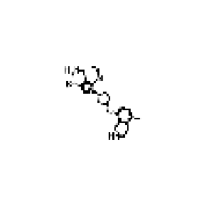 C/C=N\c1c(CN)c(Br)cn1C1CCC(Oc2ccc(C)c3c2CNCC3)C1